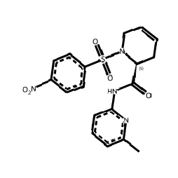 Cc1cccc(NC(=O)[C@@H]2CC=CCN2S(=O)(=O)c2ccc([N+](=O)[O-])cc2)n1